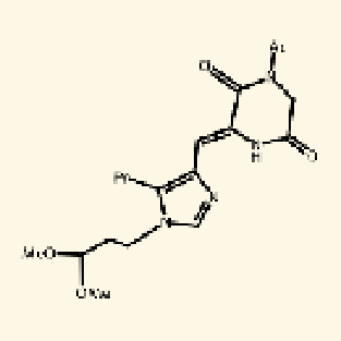 COC(CCn1cnc(/C=C2\NC(=O)CN(C(C)=O)C2=O)c1C(C)C)OC